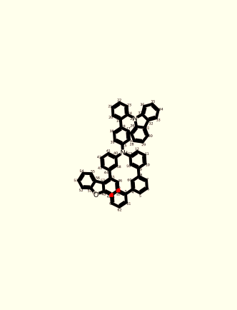 c1ccc(-c2cccc(-c3cccc(N(c4ccc(-c5ccccc5-n5c6ccccc6c6ccccc65)cc4)c4cccc(-c5cccc6oc7ccccc7c56)c4)c3)c2)cc1